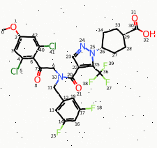 COc1cc(Cl)c(C(=O)CN(Cc2cc(F)cc(F)c2)C(=O)c2cnn([C@H]3CC[C@H](C(=O)O)CC3)c2C(F)(F)F)c(Cl)c1